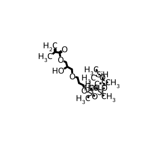 C=C(C)C(=O)OCC(O)COCCCO[Si](C)(C)O[Si](C)(C)O[Si](C)(C)O[SiH](C)C